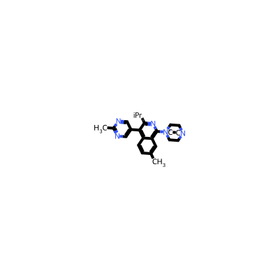 Cc1ccc2c(-c3cnc(C)nc3)c(C(C)C)nc([N+]34CCN(CC3)CC4)c2c1